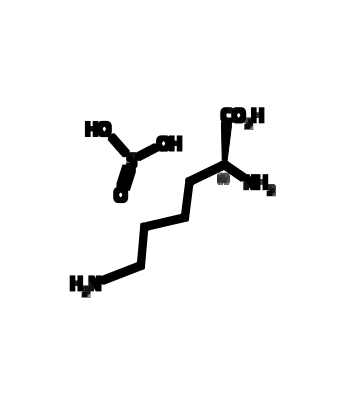 NCCCC[C@H](N)C(=O)O.O=S(O)O